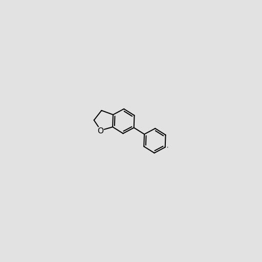 [c]1ccc(-c2ccc3c(c2)OCC3)cc1